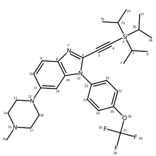 CC(C)[Si](C#Cc1nc2ccc(N3CCN(C)CC3)cc2n1-c1ccc(OC(F)(F)F)cc1)(C(C)C)C(C)C